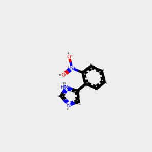 O=[N+]([O-])c1ccccc1-c1cnc[nH]1